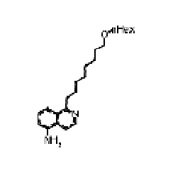 CCCCCCOCCCCCCCCc1nccc2c(N)cccc12